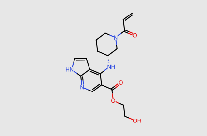 C=CC(=O)N1CCC[C@@H](Nc2c(C(=O)OCCO)cnc3[nH]ccc23)C1